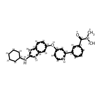 CN(C)C(=O)c1cccc(-c2cc(Oc3ccc4nc(NC5CCCCC5)sc4c3)ccn2)c1